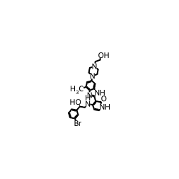 Cc1cc(N2CCN(CCO)CC2)cc2[nH]c(-c3c(NC[C@@H](O)c4cccc(Br)c4)cc[nH]c3=O)nc12